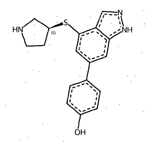 Oc1ccc(-c2cc(S[C@H]3CCNC3)c3cn[nH]c3c2)cc1